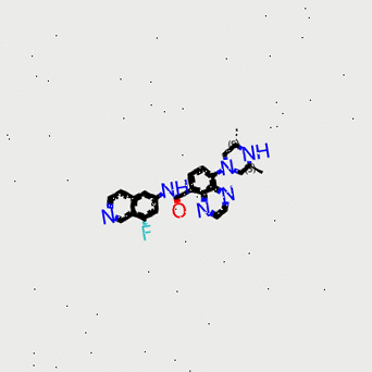 C[C@H]1CN(c2ccc(C(=O)Nc3cc(F)c4cnccc4c3)c3nccnc23)C[C@H](C)N1